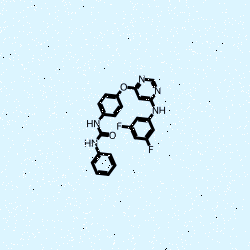 O=C(Nc1ccccc1)Nc1ccc(Oc2cc(Nc3cc(F)cc(F)c3)ncn2)cc1